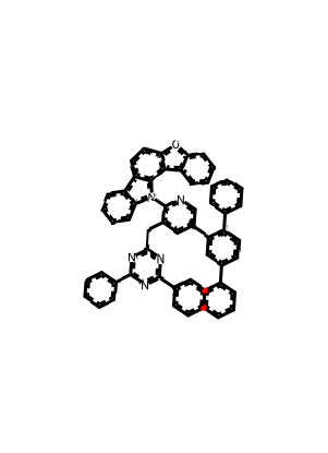 c1ccc(-c2ccc(-c3ccccc3)c(-c3cnc(-n4c5ccccc5c5ccc6oc7ccccc7c6c54)c(Cc4nc(-c5ccccc5)nc(-c5ccccc5)n4)c3)c2)cc1